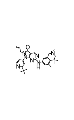 C=CCn1c(=O)c2cnc(Nc3cc(C)c4c(c3)CN(C)CC4(C)C)nc2n1-c1ccnc(C(C)(C)C)c1